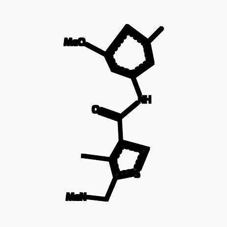 CNCc1scc(C(=O)Nc2cc(C)cc(OC)c2)c1C